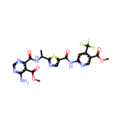 COC(=O)c1cnc(NC(=O)c2cnc(C(C)NC(=O)c3ncnc(N)c3C(=O)OC)s2)cc1C(F)(F)F